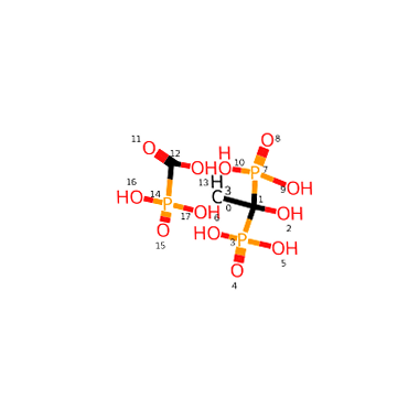 CC(O)(P(=O)(O)O)P(=O)(O)O.O=C(O)P(=O)(O)O